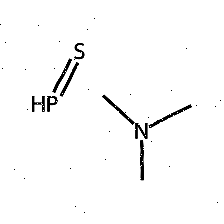 CN(C)C.P=S